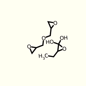 C(OCC1CO1)C1CO1.CCC1OC1(O)O